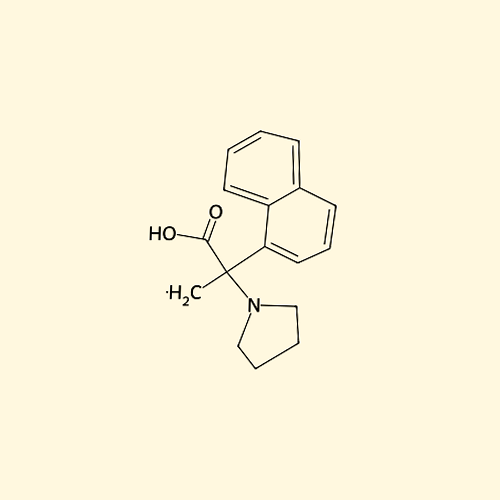 [CH2]C(C(=O)O)(c1cccc2ccccc12)N1CCCC1